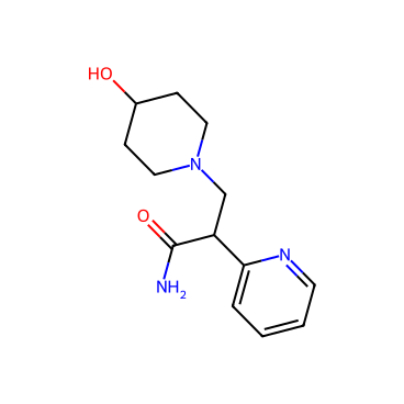 NC(=O)C(CN1CCC(O)CC1)c1ccccn1